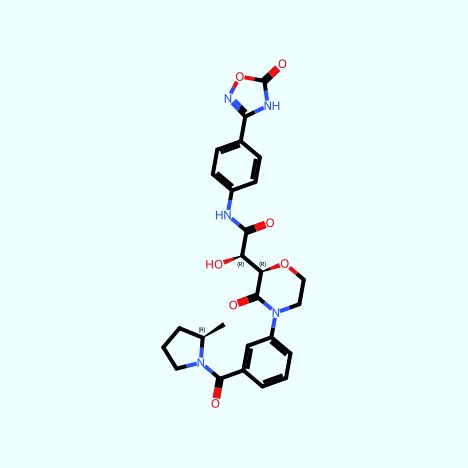 C[C@@H]1CCCN1C(=O)c1cccc(N2CCO[C@H]([C@@H](O)C(=O)Nc3ccc(-c4noc(=O)[nH]4)cc3)C2=O)c1